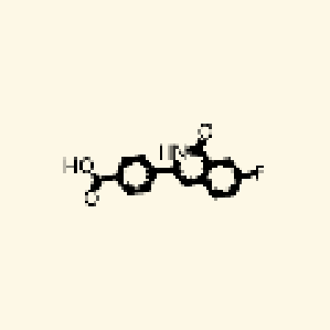 O=C(O)c1ccc(-c2cc3ccc(F)cc3c(=O)[nH]2)cc1